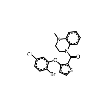 CN1CCN(C(=O)c2sccc2Oc2cc(Cl)ccc2Br)c2ccccc21